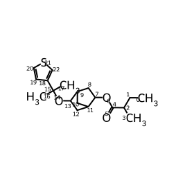 CCC(C)C(=O)OC1CC2CC1CC2OC(C)(C)c1ccsc1